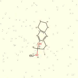 C[C@@H](Cc1ccc2c(c1)CCCC2)C(C)(O)OC(C)(C)C